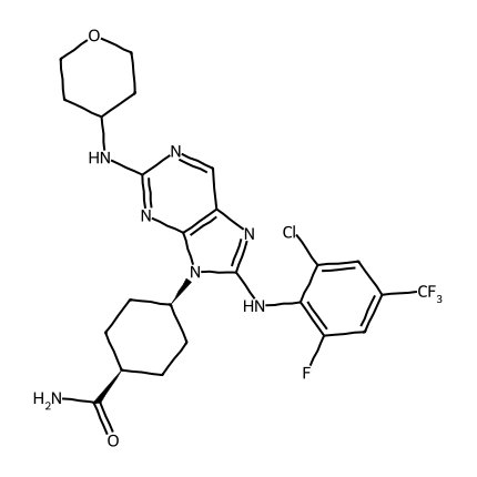 NC(=O)[C@H]1CC[C@@H](n2c(Nc3c(F)cc(C(F)(F)F)cc3Cl)nc3cnc(NC4CCOCC4)nc32)CC1